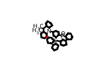 CC1(C)c2ccccc2N(c2ccc3c(c2)[Si](c2ccccc2)(c2ccccc2)c2ccccc2P3(=O)c2ccccc2)c2ccccc21